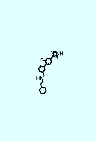 Fc1cc(-c2nc[nH]n2)ccc1-c1cccc(CNCCC2CCCCC2)c1